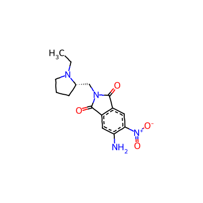 CCN1CCC[C@H]1CN1C(=O)c2cc(N)c([N+](=O)[O-])cc2C1=O